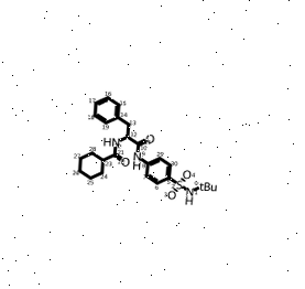 CC(C)(C)NS(=O)(=O)c1ccc(NC(=O)C(Cc2ccccc2)NC(=O)C2CCCCC2)cc1